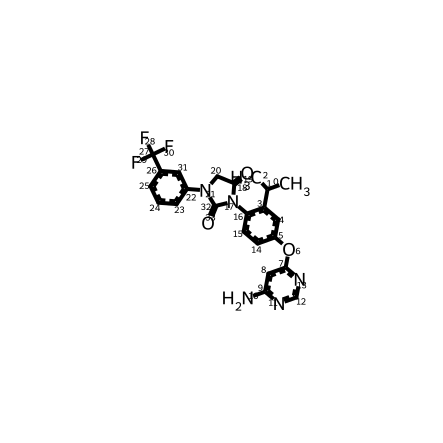 CC(C)c1cc(Oc2cc(N)ncn2)ccc1N1C(=O)CN(c2cccc(C(F)(F)F)c2)C1=O